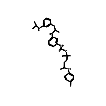 CC(C)Nc1cccc(CC(C)Nc2cccc(NC(=O)OC(C)(C)CCC(C)Nc3ccc(F)cc3)c2)c1